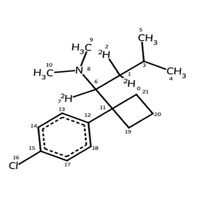 [2H]C([2H])(C(C)C)C([2H])(N(C)C)C1(c2ccc(Cl)cc2)CCC1